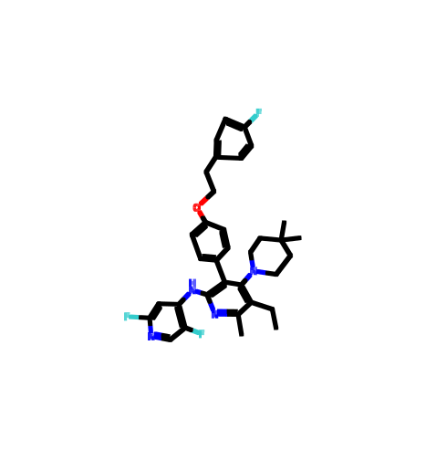 CCc1c(C)nc(Nc2cc(F)ncc2F)c(-c2ccc(OCCc3ccc(F)cc3)cc2)c1N1CCC(C)(C)CC1